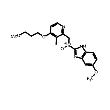 COCCCOc1ccnc(C[S@+]([O-])c2nc3cc(OC(F)(F)F)ccc3[nH]2)c1C